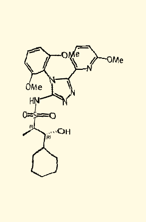 COc1cccc(-c2nnc(NS(=O)(=O)[C@H](C)[C@H](O)C3CCCCC3)n2-c2c(OC)cccc2OC)n1